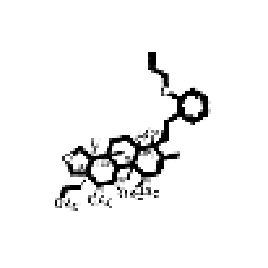 C=CCOc1ccccc1CC[C@@]1(O)C(C)=C[C@@H](OC(C)=O)[C@]2(C)C3[C@H](OC(C)=O)[C@H](OC(C)=O)[C@@]4(CCOC(C)=O)COC[C@H]4[C@]3(C)CC[C@H]21